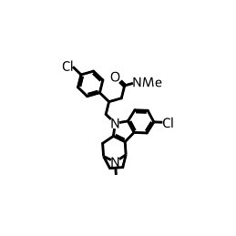 CNC(=O)CC(Cn1c2c(c3cc(Cl)ccc31)C1CCC(C2)N1C)c1ccc(Cl)cc1